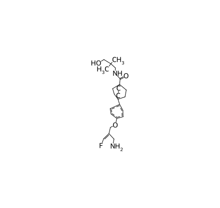 CC(C)(CO)CNC(=O)C12CCC(c3ccc(OC/C(=C/F)CN)cc3)(CC1)CC2